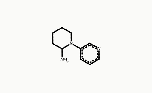 NC1CCCCN1c1cccnc1